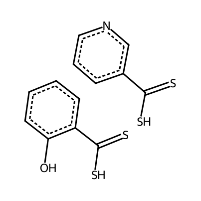 Oc1ccccc1C(=S)S.S=C(S)c1cccnc1